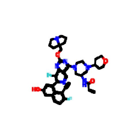 C#Cc1c(F)ccc2cc(O)cc(-c3ncc4c(N5CCN(C6CCOCC6)C[C@@H](NC(=O)C=C)C5)nc(OCC56CCCN5CCC6)nc4c3F)c12